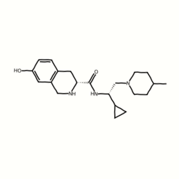 CC1CCN(C[C@@H](NC(=O)[C@H]2Cc3ccc(O)cc3CN2)C2CC2)CC1